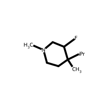 CC(C)C1(C)CCN(C)CC1F